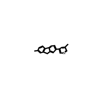 Cc1cncc(-c2ccc3c(c2)Cc2cc(C)ccc2-3)c1